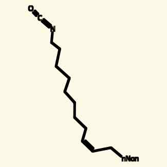 CCCCCCCCCC/C=C\CCCCCCCCN=C=O